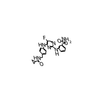 NS(=O)(=O)c1cccc(Nc2ncc(F)c(Nc3ccc(CNC(=O)C4CC4)cc3)n2)c1